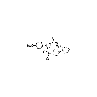 COc1ccc(-n2nc(C(N)=O)cc2C(=O)N(C2CC2)C2CCN(N3CCOCC3=O)CC2)cc1